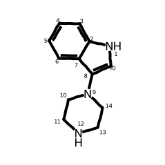 [c]1[nH]c2ccccc2c1N1CCNCC1